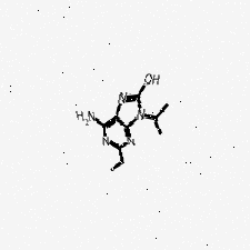 CCc1nc(N)c2nc(O)n(C(C)C)c2n1